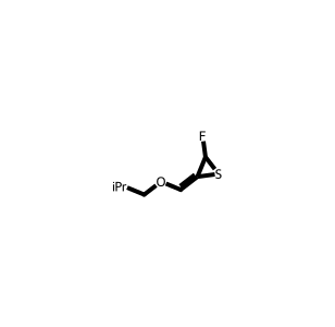 CC(C)CO/C=C1/SC1F